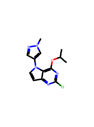 CC(C)Oc1nc(Cl)nc2ccn(-c3cnn(C)c3)c12